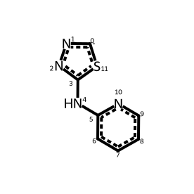 [c]1nnc(Nc2ccccn2)s1